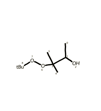 CC(O)C(C)(C)OOC(C)(C)C